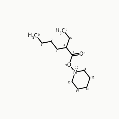 CCCCC(CC)C(=O)ON1CCCCC1